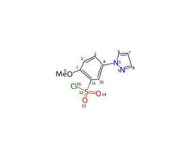 COc1ccc(-n2cccn2)cc1S(=O)(=O)Cl